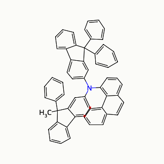 CC1(c2ccccc2)c2ccccc2-c2ccc(N(c3ccc4c(c3)C(c3ccccc3)(c3ccccc3)c3ccccc3-4)c3cccc4ccc5ccccc5c34)cc21